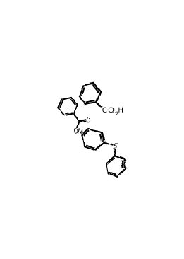 COC(=O)c1ccccc1.O=C(O)c1ccccc1.c1ccc(Sc2ccccc2)cc1